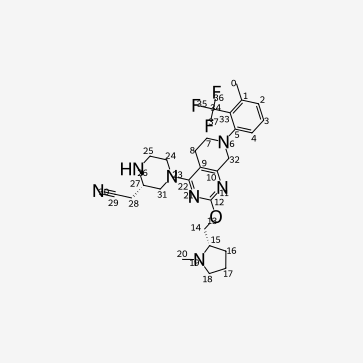 Cc1cccc(N2CCc3c(nc(OC[C@@H]4CCCN4C)nc3N3CCN[C@@H](CC#N)C3)C2)c1C(F)(F)F